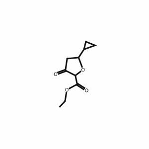 CCOC(=O)C1OC(C2CC2)CC1=O